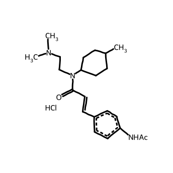 CC(=O)Nc1ccc(C=CC(=O)N(CCN(C)C)C2CCC(C)CC2)cc1.Cl